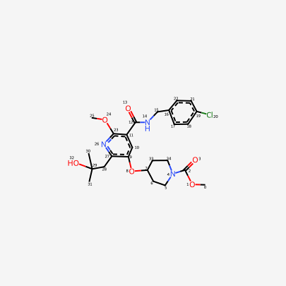 COC(=O)N1CCC(Oc2cc(C(=O)NCc3ccc(Cl)cc3)c(OC)nc2CC(C)(C)O)CC1